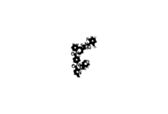 Cc1ccc(C(=O)Nc2ccc(C(=O)N3CCc4cc(NC(=O)c5c(C)cccc5F)sc4-c4ccccc43)cc2)c(N2CC3(CCOCC3)C2)n1